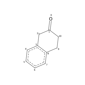 O=C1[C]c2ccccc2CC1